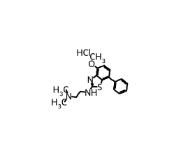 COc1ccc(-c2ccccc2)c2sc(NCCN(C)C)nc12.Cl